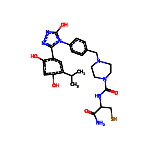 CC(C)c1cc(-c2nnc(O)n2-c2ccc(CN3CCN(C(=O)NC(CS)C(N)=O)CC3)cc2)c(O)cc1O